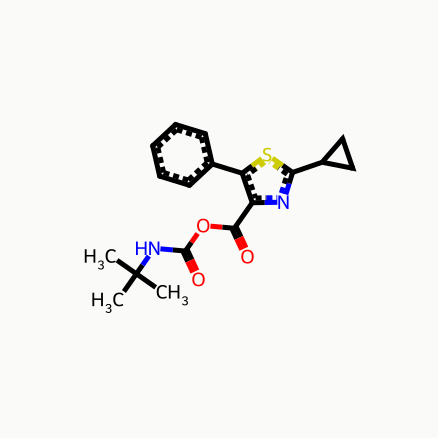 CC(C)(C)NC(=O)OC(=O)c1nc(C2CC2)sc1-c1ccccc1